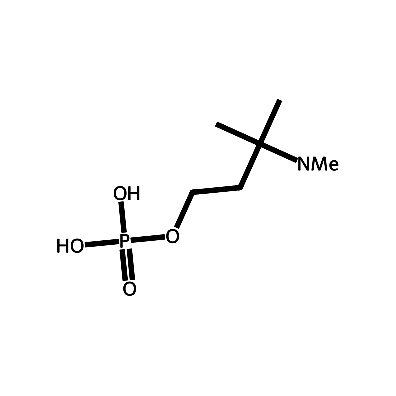 CNC(C)(C)CCOP(=O)(O)O